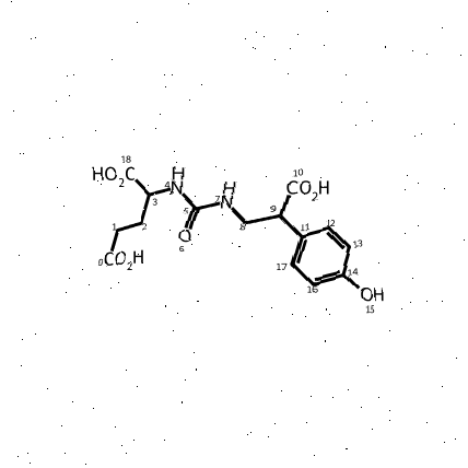 O=C(O)CCC(NC(=O)NCC(C(=O)O)c1ccc(O)cc1)C(=O)O